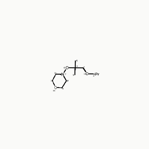 CC(C)OCC(C)(C)ON1CCOCC1